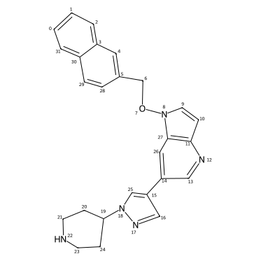 c1ccc2cc(COn3ccc4ncc(-c5cnn(C6CCNCC6)c5)cc43)ccc2c1